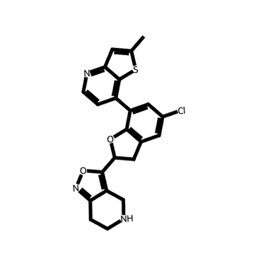 Cc1cc2nccc(-c3cc(Cl)cc4c3OC(c3onc5c3CNCC5)C4)c2s1